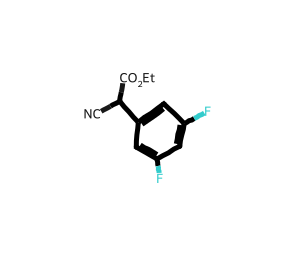 CCOC(=O)C(C#N)c1cc(F)cc(F)c1